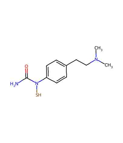 CN(C)CCc1ccc(N(S)C(N)=O)cc1